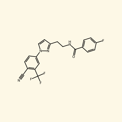 N#Cc1ccc(-n2ccc(CCNC(=O)c3ccc(F)cc3)n2)cc1C(F)(F)F